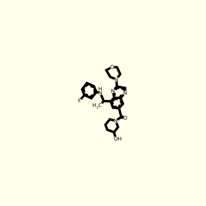 CC(Nc1cccc(F)c1)c1cc(C(=O)N2CCCC(O)C2)cc2ncc(N3CCOCC3)nc12